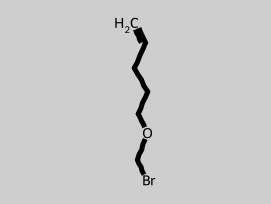 C=CCCCOCBr